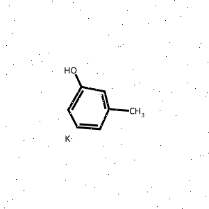 Cc1cccc(O)c1.[K]